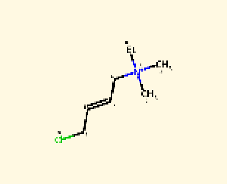 CC[N+](C)(C)C/C=C/CCl